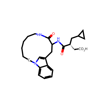 O=C(O)C[C@@H](CC1CC1)C(=O)NC1Cc2cn(c3ccccc23)CCCCCCNC1=O